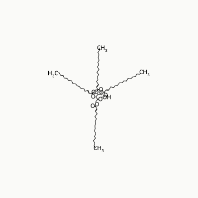 CCCCCCCCCCCCCCC/C=C/C(=O)OCC(=O)[C@H](OC(=O)/C=C/CCCCCCCCCCCCCCC)[C@@H](OC(=O)/C=C/CCCCCCCCCCCCCCC)[C@@H](CO)OC(=O)/C=C/CCCCCCCCCCCCCCC